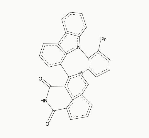 CC(C)c1cccc(C(C)C)c1-n1c2ccccc2c2cccc(-c3ccc4cccc5c4c3C(=O)NC5=O)c21